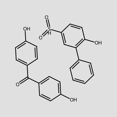 O=C(c1ccc(O)cc1)c1ccc(O)cc1.O=[SH](=O)c1ccc(O)c(-c2ccccc2)c1